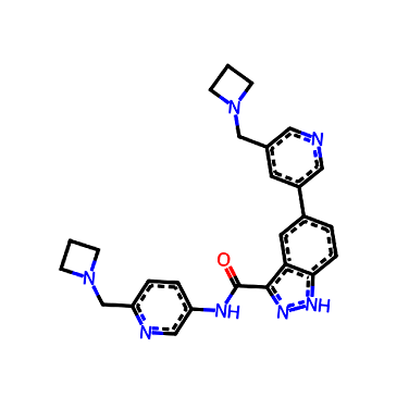 O=C(Nc1ccc(CN2CCC2)nc1)c1n[nH]c2ccc(-c3cncc(CN4CCC4)c3)cc12